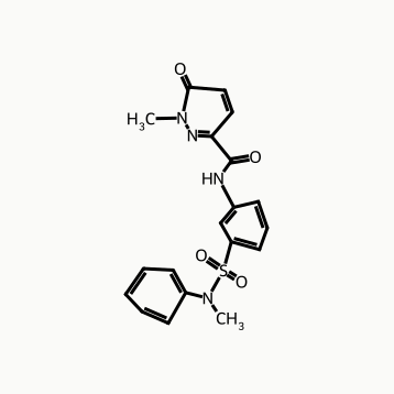 CN(c1ccccc1)S(=O)(=O)c1cccc(NC(=O)c2ccc(=O)n(C)n2)c1